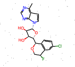 Cc1ncnc2c1ccn2[C@@H]1O[C@H]([C@@H]2OC[C@H](F)c3cc(Cl)ccc32)[C@@H](O)[C@H]1O